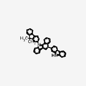 CC1(C)c2ccccc2-c2ccc(-n3c4ccccc4c4cc(-c5ccc6c(c5)[nH]c5ccccc56)c5ccccc5c43)cc21